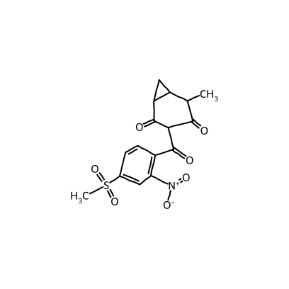 CC1C(=O)C(C(=O)c2ccc(S(C)(=O)=O)cc2[N+](=O)[O-])C(=O)C2CC12